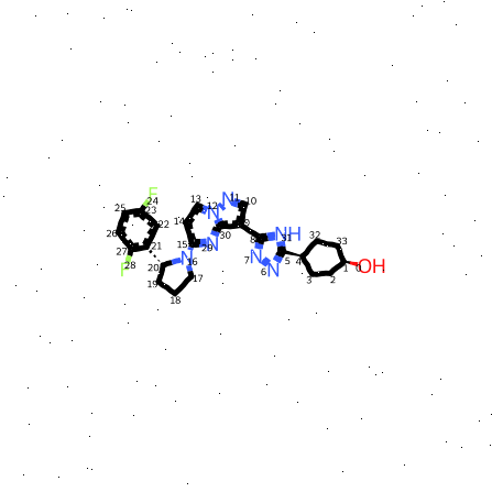 O[C@H]1CC[C@@H](c2nnc(-c3cnn4ccc(N5CCC[C@@H]5c5cc(F)ccc5F)nc34)[nH]2)CC1